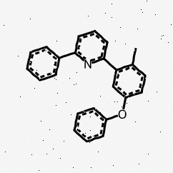 Cc1ccc(Oc2ccccc2)cc1-c1cccc(-c2ccccc2)n1